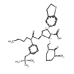 CCCCN(C(=O)CN1C[C@H](c2ccc3c(c2)CCO3)[C@@H](C(=O)O)[C@@H]1CCN1CCCN(C)C1=O)c1cccc(C[N+](C)(C)C)c1